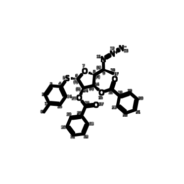 Cc1ccc(S[C@@H]2O[C@H]([C@H](C)N=[N+]=[N-])[C@@H](OC(=O)c3ccccc3)[C@H]2OC(=O)c2ccccc2)cc1